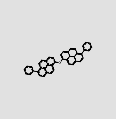 C1=CC2=C(c3ccccc3)C=CC3=CC=C4C(Oc5ccc6ccc7c(-c8ccccc8)ccc8ccc5c6c87)=CC=C1C4C32